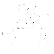 CCSC1=C(C#N)C(c2ccccc2)(c2ccccc2)C(=O)N1CCCN1CCCCC1.O=C(O)C(=O)O